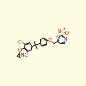 CC(C)(c1ccc(OCc2ccnc(S(C)(=O)=O)n2)cc1)c1cc(Cl)c(OC2CC2)c(C#N)c1